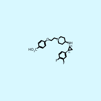 O=C(O)c1ccc(OCCN2CCC(N[C@@H]3C[C@H]3c3ccc(F)c(F)c3)CC2)cc1